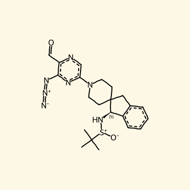 CC(C)(C)[S+]([O-])N[C@@H]1c2ccccc2CC12CCN(c1cnc(C=O)c(N=[N+]=[N-])n1)CC2